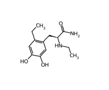 CCN[C@@H](Cc1cc(O)c(O)cc1CC)C(N)=O